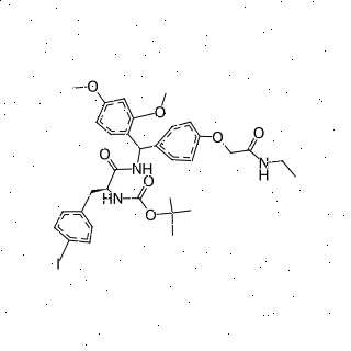 CCNC(=O)COc1ccc(C(NC(=O)[C@H](Cc2ccc(I)cc2)NC(=O)OC(C)(C)C)c2ccc(OC)cc2OC)cc1